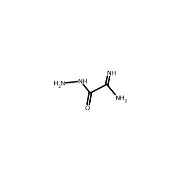 N=C(N)C(=O)NN